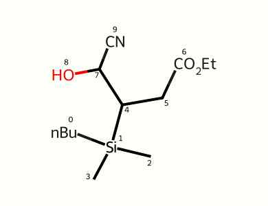 CCCC[Si](C)(C)C(CC(=O)OCC)C(O)C#N